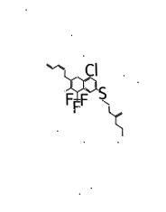 C=C/C=C\CC1=C(C)C(C(F)(F)F)c2cc(SCCCC(=C)CCC)cc(Cl)c2C1